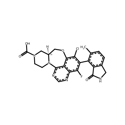 Cc1ccc2c(c1-c1c(Cl)c3c4c(ncnc4c1F)N1CCN(C(=O)O)C[C@H]1CO3)C(=O)NC2